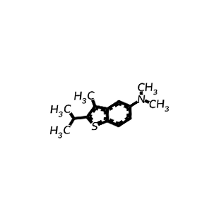 Cc1c(C(C)C)sc2ccc(N(C)C)cc12